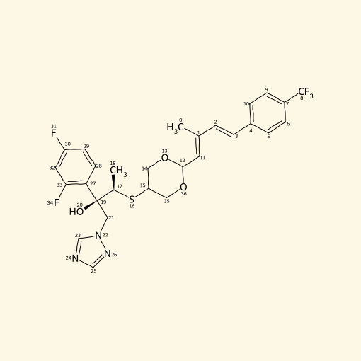 CC(C=Cc1ccc(C(F)(F)F)cc1)=CC1OCC(S[C@H](C)[C@](O)(Cn2cncn2)c2ccc(F)cc2F)CO1